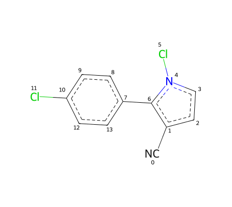 N#Cc1ccn(Cl)c1-c1ccc(Cl)cc1